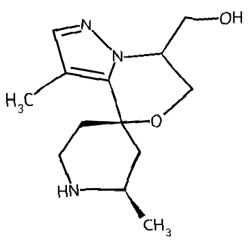 Cc1cnn2c1[C@]1(CCN[C@H](C)C1)OCC2CO